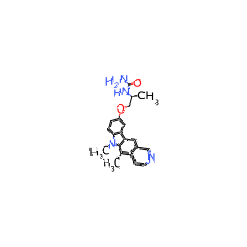 Cc1c2ccncc2cc2c3cc(OC[C@H](C)NC(N)=O)ccc3n(C)c12